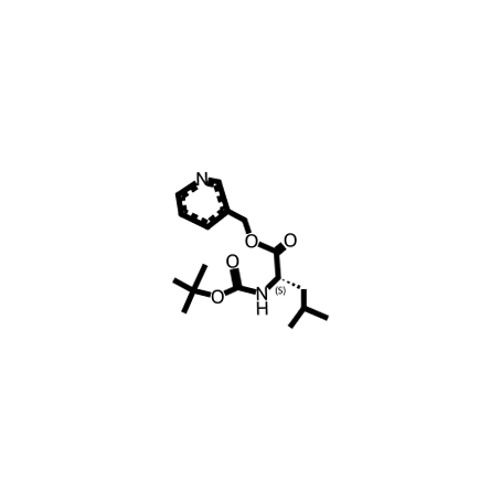 CC(C)C[C@H](NC(=O)OC(C)(C)C)C(=O)OCc1cccnc1